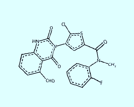 CN(C(=O)c1cc(-n2c(=O)[nH]c3cccc(C=O)c3c2=O)c(Cl)s1)c1ccccc1F